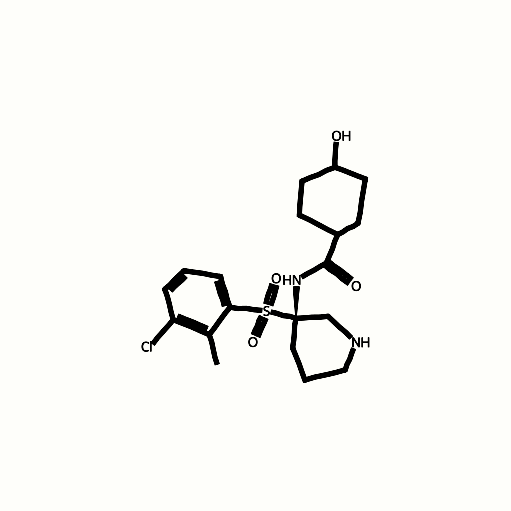 Cc1c(Cl)cccc1S(=O)(=O)[C@@]1(NC(=O)C2CCC(O)CC2)CCCNC1